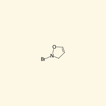 BrN1CC=CO1